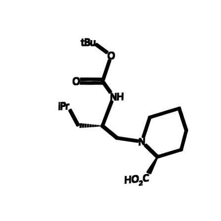 CC(C)C[C@@H](CN1CCCC[C@H]1C(=O)O)NC(=O)OC(C)(C)C